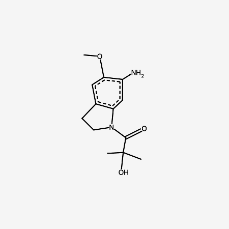 COc1cc2c(cc1N)N(C(=O)C(C)(C)O)CC2